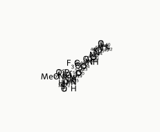 COC(=O)N[C@H](C(=O)N1C[C@@H]([S+](C)[O-])C[C@H]1c1nc(-c2ccc(-c3ccc(C(=O)Nc4ccc(N5CCN(C(=O)C6CC6(C)C)C[C@H]5C)nc4)cc3OC(F)(F)F)cc2)c[nH]1)C(C)C